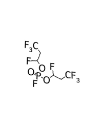 O=P(F)(OC(F)CC(F)(F)F)OC(F)CC(F)(F)F